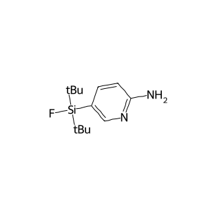 CC(C)(C)[Si](F)(c1ccc(N)nc1)C(C)(C)C